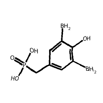 Bc1cc(CP(=O)(O)O)cc(B)c1O